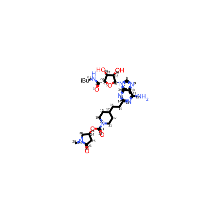 CCC(C)NC(=O)[C@H]1O[C@@H](n2cnc3c(N)nc(CCC4CCN(C(=O)OC5CC(=O)N(C)C5)CC4)nc32)C(O)C1O